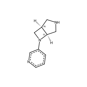 c1cncc(N2C[C@H]3CNC[C@H]32)c1